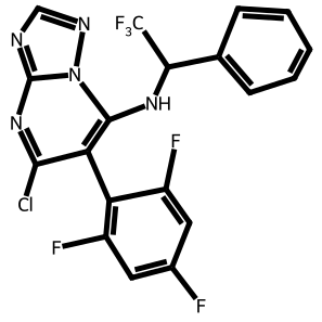 Fc1cc(F)c(-c2c(Cl)nc3ncnn3c2NC(c2ccccc2)C(F)(F)F)c(F)c1